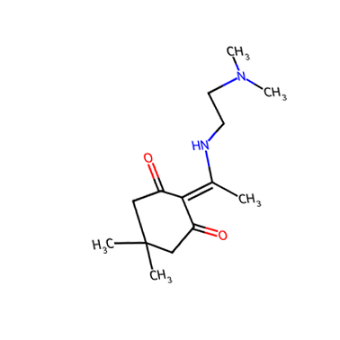 CC(NCCN(C)C)=C1C(=O)CC(C)(C)CC1=O